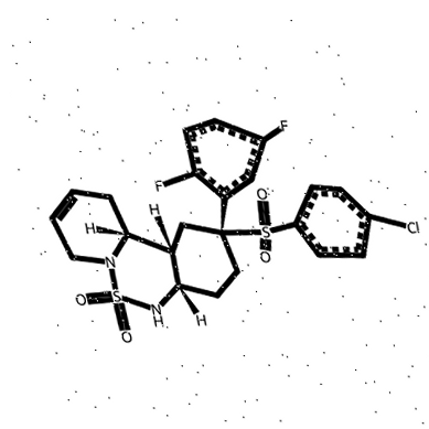 O=S1(=O)N[C@H]2CC[C@@](c3cc(F)ccc3F)(S(=O)(=O)c3ccc(Cl)cc3)C[C@H]2[C@H]2CC=CCN21